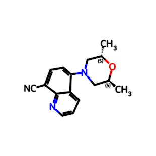 C[C@H]1CN(c2ccc(C#N)c3ncccc23)C[C@H](C)O1